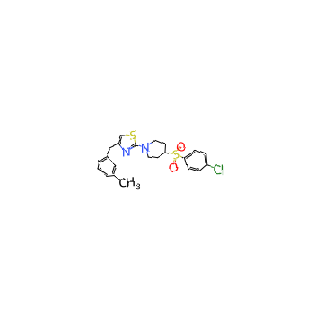 Cc1cccc(Cc2csc(N3CCC(S(=O)(=O)c4ccc(Cl)cc4)CC3)n2)c1